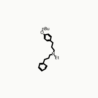 CCCCOc1ccc(CCCN(CC)CCCc2ccccc2)cc1